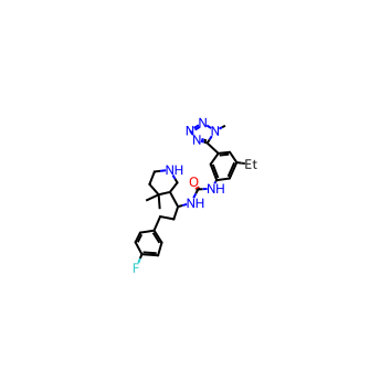 CCc1cc(NC(=O)NC(CCc2ccc(F)cc2)C2CNCCC2(C)C)cc(-c2nnnn2C)c1